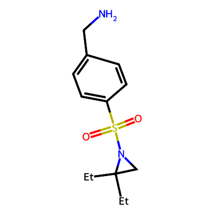 CCC1(CC)CN1S(=O)(=O)c1ccc(CN)cc1